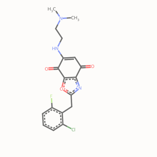 CN(C)CCNC1=CC(=O)c2nc(Cc3c(F)cccc3Cl)oc2C1=O